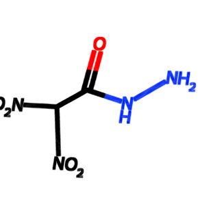 NNC(=O)C([N+](=O)[O-])[N+](=O)[O-]